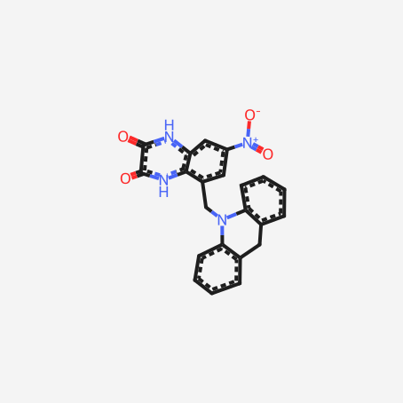 O=c1[nH]c2cc([N+](=O)[O-])cc(CN3c4ccccc4Cc4ccccc43)c2[nH]c1=O